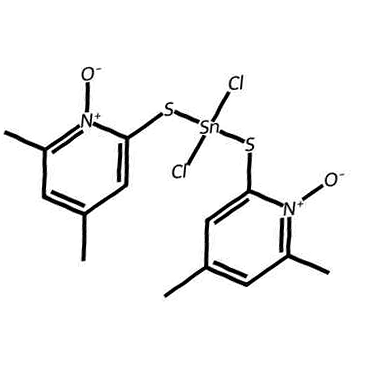 Cc1cc(C)[n+]([O-])c([S][Sn]([Cl])([Cl])[S]c2cc(C)cc(C)[n+]2[O-])c1